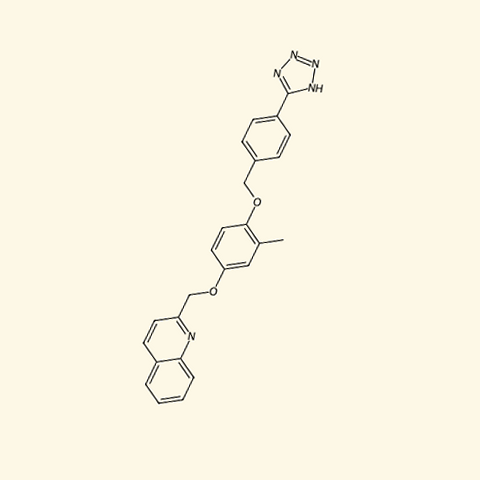 Cc1cc(OCc2ccc3ccccc3n2)ccc1OCc1ccc(-c2nnn[nH]2)cc1